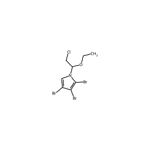 CCOC(CCl)n1cc(Br)c(Br)c1Br